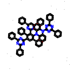 c1ccc(-c2cc(-c3ccccc3)nc(-c3c(-c4ccccc4)c(-c4nc(-c5ccccc5)nc(-c5ccccc5)n4)cc(-c4ccccc4)c3N3c4ccccc4N(c4nc(-c5ccccc5)nc(-c5ccccc5)n4)c4ccccc43)n2)cc1